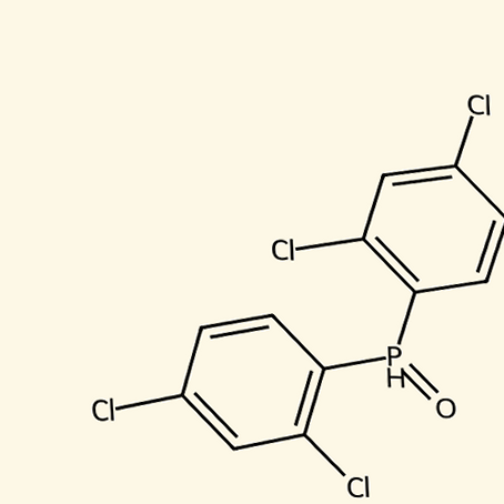 O=[PH](c1ccc(Cl)cc1Cl)c1ccc(Cl)cc1Cl